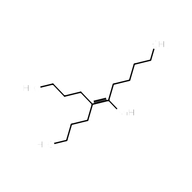 CCCCC[C]([SnH])=C(CCCC)CCCC